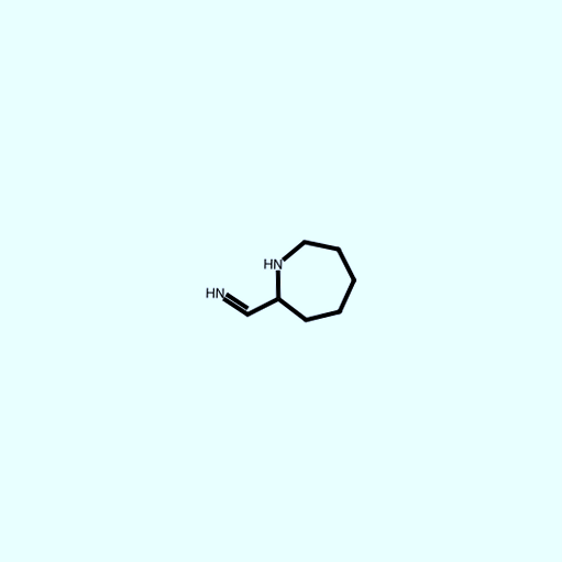 N=CC1CCCCCN1